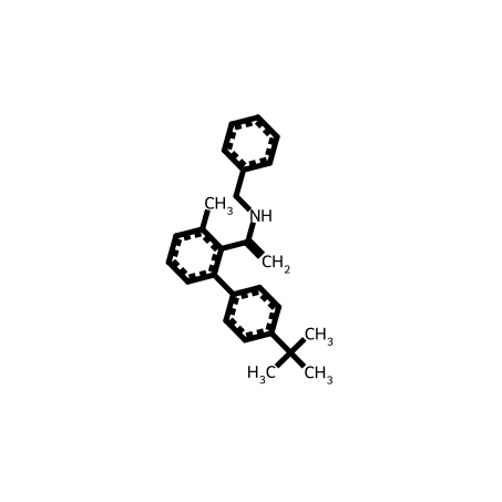 C=C(NCc1ccccc1)c1c(C)cccc1-c1ccc(C(C)(C)C)cc1